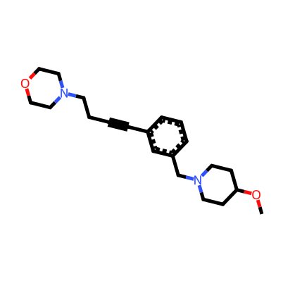 COC1CCN(Cc2cccc(C#CCCN3CCOCC3)c2)CC1